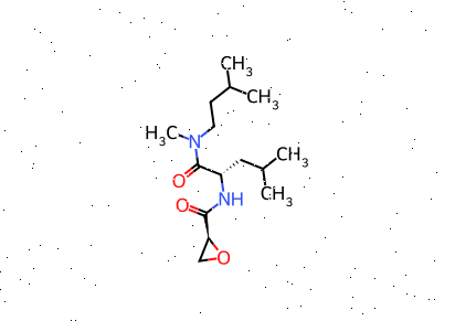 CC(C)CCN(C)C(=O)[C@H](CC(C)C)NC(=O)[C@@H]1CO1